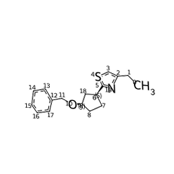 CCc1csc([C@H]2CC[C@@H](OCc3ccccc3)C2)n1